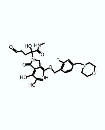 C=C(O)/C(O)=C1/C(=O)N(C(O)(CCC=O)C(=O)NC)C/C1=C(/O)OCc1ccc(CN2CCOCC2)cc1F